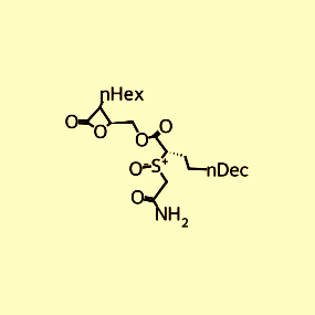 CCCCCCCCCCCC[C@@H](C(=O)OC[C@H]1OC(=O)[C@H]1CCCCCC)[S+]([O-])CC(N)=O